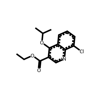 CCOC(=O)c1cnc2c(Cl)cccc2c1OC(C)C